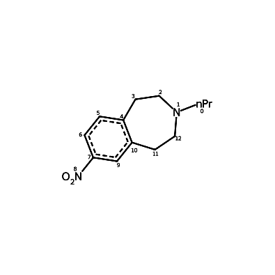 CCCN1CCc2ccc([N+](=O)[O-])cc2CC1